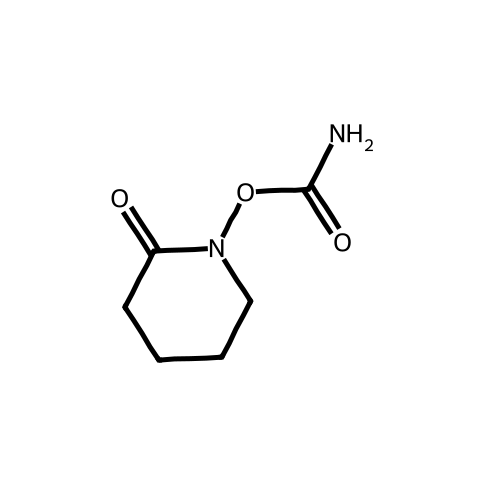 NC(=O)ON1CCCCC1=O